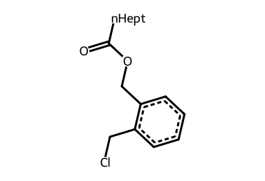 CCCCCCCC(=O)OCc1ccccc1CCl